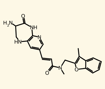 Cc1c(CN(C)C(=O)/C=C/c2cnc3c(c2)NCC(N)C(=O)N3)oc2ccccc12